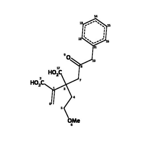 C=C(C(=O)O)C(CCOC)(CC(=O)Cc1ccccc1)C(=O)O